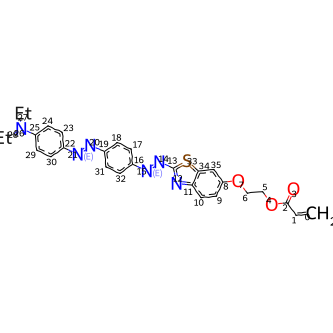 C=CC(=O)OCCOc1ccc2nc(/N=N/c3ccc(/N=N/c4ccc(N(CC)CC)cc4)cc3)sc2c1